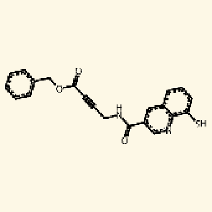 O=C(C#CCNC(=O)c1cnc2c(S)cccc2c1)OCc1ccccc1